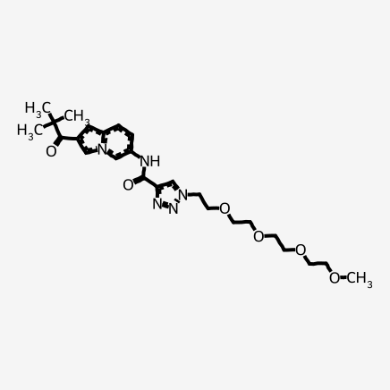 COCCOCCOCCOCCn1cc(C(=O)Nc2ccc3cc(C(=O)C(C)(C)C)cn3c2)nn1